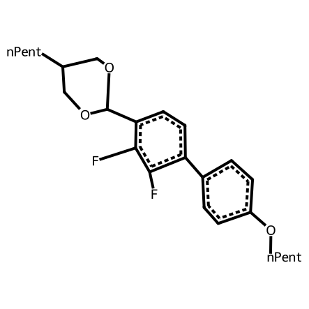 CCCCCOc1ccc(-c2ccc(C3OCC(CCCCC)CO3)c(F)c2F)cc1